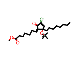 CCCCCCCCC1(O[Si](C)(C)C)C=C(Cl)C(=O)/C1=C\CCCCCC(=O)OC